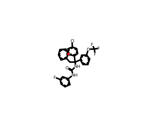 O=C(Nc1cccc(F)c1)NC(Cc1ccccc1)(c1cccc(OC(F)(F)F)c1)c1ccc(Cl)cn1